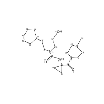 CN1CCN(C(=O)C2(NC(=O)N(CCO)CCC3CCCCC3)CC2)CC1